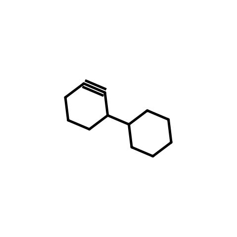 C1#CC(C2CCCCC2)CCC1